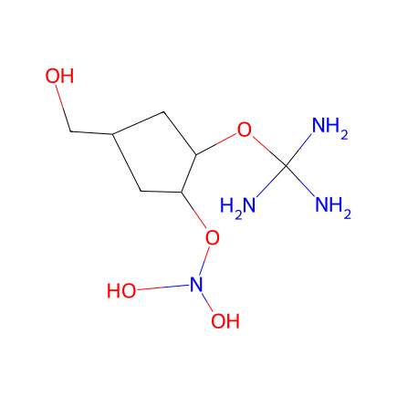 NC(N)(N)OC1CC(CO)CC1ON(O)O